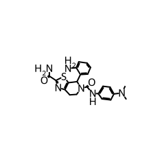 CN(C)c1ccc(NC(=O)N2CCc3nc(C(N)=O)sc3C2c2ccccc2N)cc1